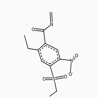 C=NC(=O)c1cc([N+](=O)[O-])c(S(=O)(=O)CC)cc1CC